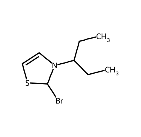 CCC(CC)N1C=CSC1Br